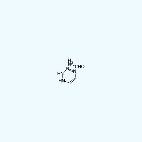 C1=CNNN=N1.NC=O